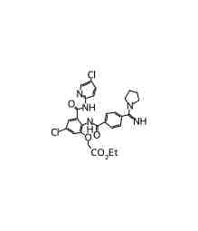 CCOC(=O)COc1cc(Cl)cc(C(=O)Nc2ccc(Cl)cn2)c1NC(=O)c1ccc(C(=N)N2CCCC2)cc1